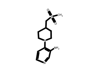 CS(=O)(=O)CC1CCN(c2ccncc2N)CC1